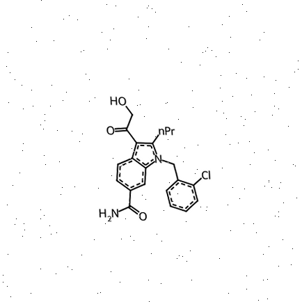 CCCc1c(C(=O)CO)c2ccc(C(N)=O)cc2n1Cc1ccccc1Cl